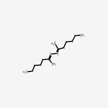 CCCCC/C(N)=N/N=C(\N)CCCCC